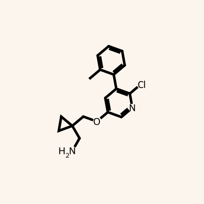 Cc1ccccc1-c1cc(OCC2(CN)CC2)cnc1Cl